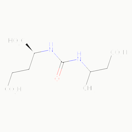 CC(CC(=O)O)NC(=O)N[C@@H](CCC(=O)O)C(=O)O